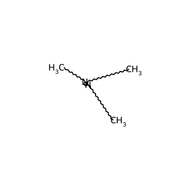 CCCCCCCCCCCCCCCCCCCC1N(CCCCCCCCCCCC)C=CN1CCCCCCCCCCCCCCCCCCC